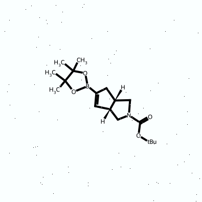 CC(C)(C)OC(=O)N1C[C@H]2CC(B3OC(C)(C)C(C)(C)O3)=C[C@H]2C1